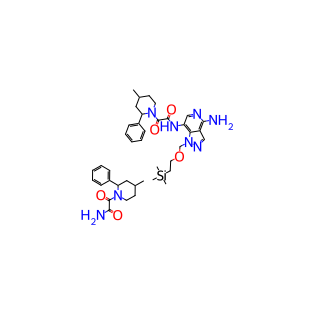 CC1CCN(C(=O)C(=O)Nc2cnc(N)c3cnn(COCC[Si](C)(C)C)c23)C(c2ccccc2)C1.CC1CCN(C(=O)C(N)=O)C(c2ccccc2)C1